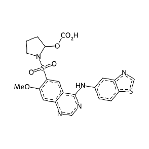 COc1cc2ncnc(Nc3ccc4scnc4c3)c2cc1S(=O)(=O)N1CCCC1OC(=O)O